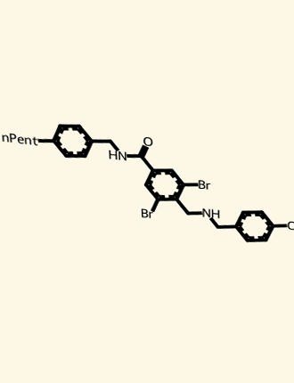 CCCCCc1ccc(CNC(=O)c2cc(Br)c(CNCc3ccc(C(F)(F)F)cc3)c(Br)c2)cc1